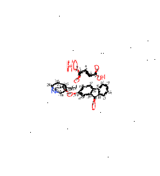 O=C(O)/C=C/C(=O)O.O=C1c2ccccc2-c2ccc(O[C@@H]3CN4CCC3CC4)cc21